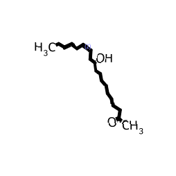 CCCCC/C=C\CC(O)CCCCCCCCC(C)=O